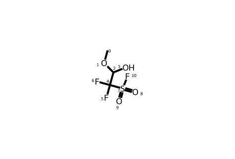 COC(O)C(F)(F)S(=O)(=O)F